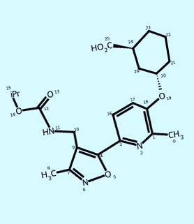 Cc1nc(-c2onc(C)c2CNC(=O)OC(C)C)ccc1O[C@H]1CCC[C@H](C(=O)O)C1